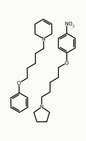 C1=CCN(CCCCCOc2ccccc2)CC1.O=[N+]([O-])c1ccc(OCCCCCN2CCCC2)cc1